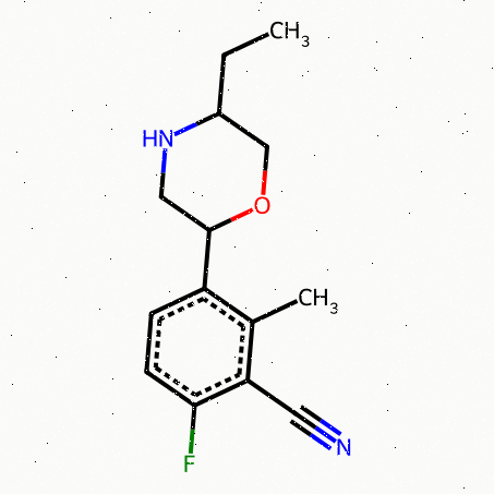 CCC1COC(c2ccc(F)c(C#N)c2C)CN1